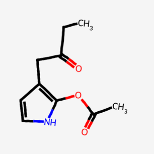 CCC(=O)Cc1cc[nH]c1OC(C)=O